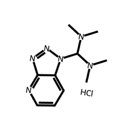 CN(C)C(N(C)C)n1nnc2ncccc21.Cl